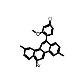 COc1cc(Cl)ccc1-c1cc2c3cc(C)ccc3c(Br)cc2c2cc(C)ccc12